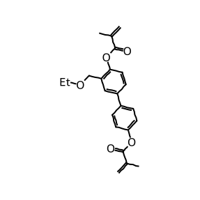 C=C(C)C(=O)Oc1ccc(-c2ccc(OC(=O)C(=C)C)c(COCC)c2)cc1